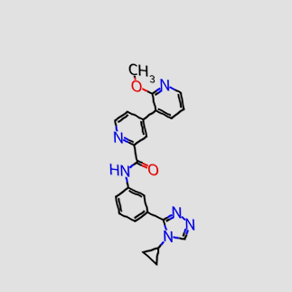 COc1ncccc1-c1ccnc(C(=O)Nc2cccc(-c3nncn3C3CC3)c2)c1